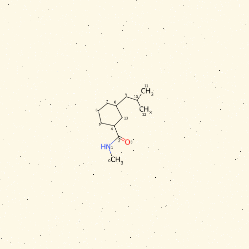 CNC(=O)C1CCCC(CC(C)C)C1